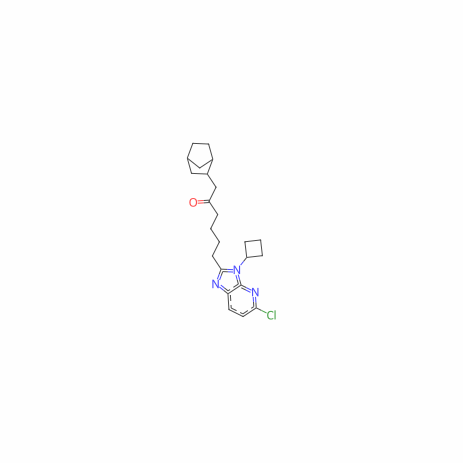 O=C(CCCCc1nc2ccc(Cl)nc2n1C1CCC1)CC1CC2CCC1C2